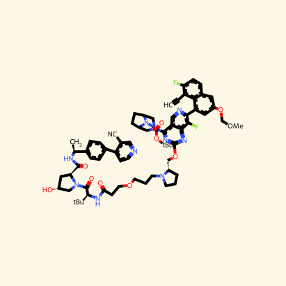 C#Cc1c(F)ccc2cc(OCOC)cc(-c3ncc4c(N5CC6CCC(C5)N6C(=O)OC(C)(C)C)nc(OC[C@@H]5CCCN5CCCOCCC(=O)N[C@H](C(=O)N5C[C@H](O)C[C@H]5C(=O)N[C@@H](C)c5ccc(-c6ccncc6C#N)cc5)C(C)(C)C)nc4c3F)c12